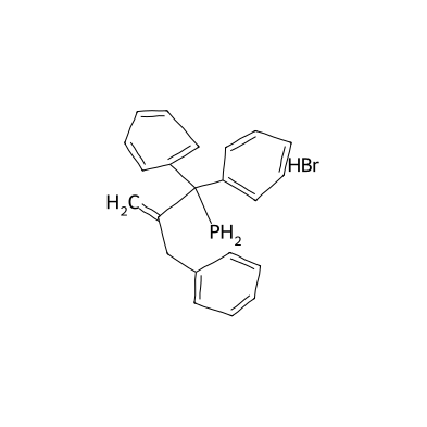 Br.C=C(Cc1ccccc1)C(P)(c1ccccc1)c1ccccc1